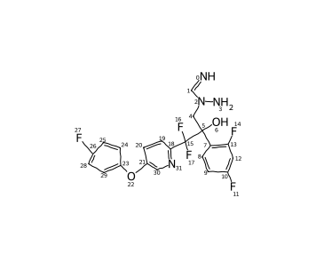 N=CN(N)CC(O)(c1ccc(F)cc1F)C(F)(F)c1ccc(Oc2ccc(F)cc2)cn1